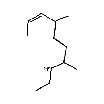 C/C=C\C(C)CCC(C)NCC